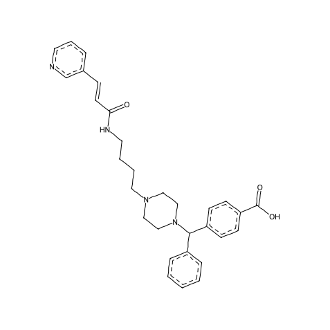 O=C(C=Cc1cccnc1)NCCCCN1CCN(C(c2ccccc2)c2ccc(C(=O)O)cc2)CC1